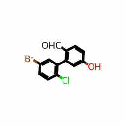 O=Cc1ccc(O)cc1-c1cc(Br)ccc1Cl